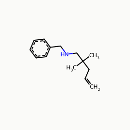 C=CCC(C)(C)CNCc1ccccc1